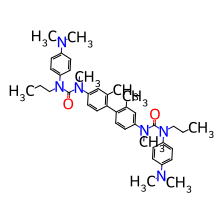 CCCN(C(=O)N(C)c1ccc(-c2ccc(N(C)C(=O)N(CCC)c3ccc(N(C)C)cc3)cc2C)c(C)c1)c1ccc(N(C)C)cc1